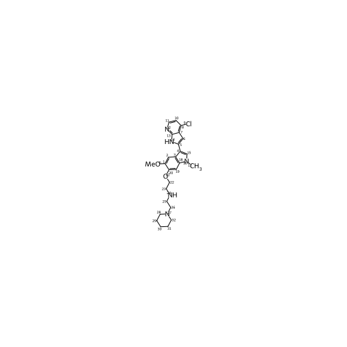 COc1cc2c(-c3cc4c(Cl)ccnc4[nH]3)cn(C)c2cc1OCCNCCN1CCCCC1